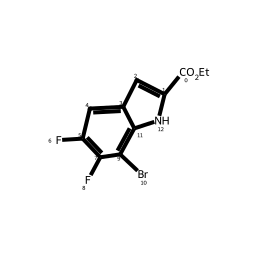 CCOC(=O)c1cc2cc(F)c(F)c(Br)c2[nH]1